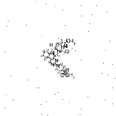 Cc1cc(C)n(C(C=O)N2CCN(c3ccccc3-c3cnc(N4CCC(S(C)(=O)=O)CC4)nc3)CC2)n1